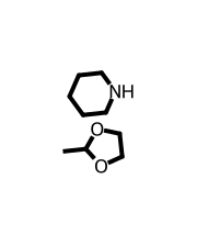 C1CCNCC1.CC1OCCO1